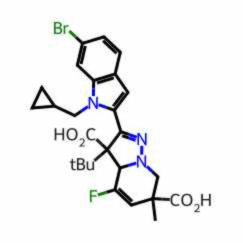 CC1(C(=O)O)C=C(F)C2N(C1)N=C(c1cc3ccc(Br)cc3n1CC1CC1)C2(C(=O)O)C(C)(C)C